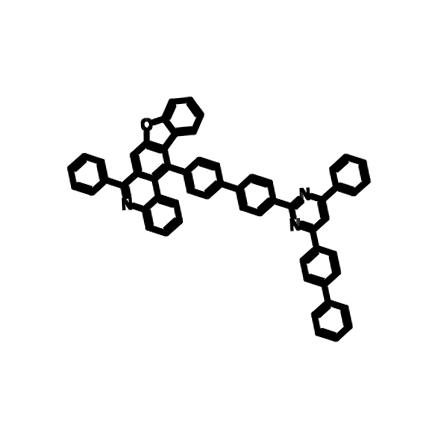 c1ccc(-c2ccc(-c3cc(-c4ccccc4)nc(-c4ccc(-c5ccc(-c6c7c(cc8c(-c9ccccc9)nc9ccccc9c68)oc6ccccc67)cc5)cc4)n3)cc2)cc1